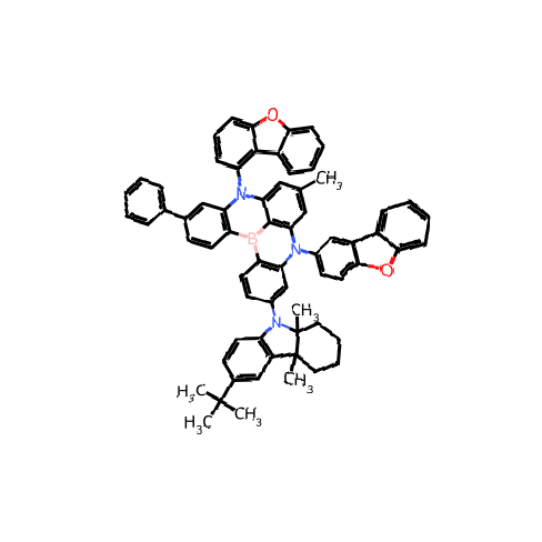 Cc1cc2c3c(c1)N(c1cccc4oc5ccccc5c14)c1cc(-c4ccccc4)ccc1B3c1ccc(N3c4ccc(C(C)(C)C)cc4C4(C)CCCCC34C)cc1N2c1ccc2oc3ccccc3c2c1